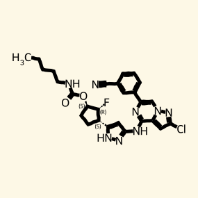 CCCCCNC(=O)O[C@H]1CC[C@@H](c2cc(Nc3nc(-c4cccc(C#N)c4)cn4nc(Cl)cc34)n[nH]2)[C@H]1F